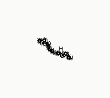 Cc1c(C(=O)NC2CCN(Cc3ccc(N4CCC(NC(=O)c5cccc(-c6cccnc6)c5Cl)CC4)nc3)CC2)cccc1-c1cccnc1